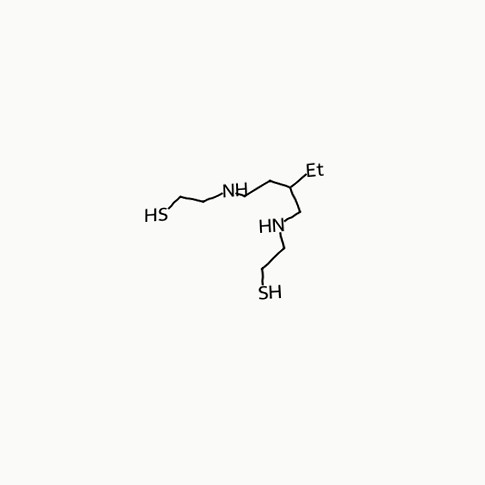 CCC(CCNCCS)CNCCS